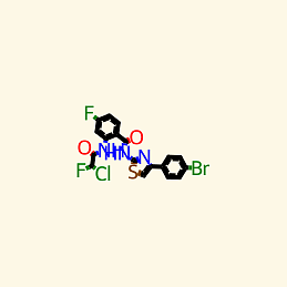 O=C(Nc1nc(-c2ccc(Br)cc2)cs1)c1ccc(F)cc1NC(=O)C(F)Cl